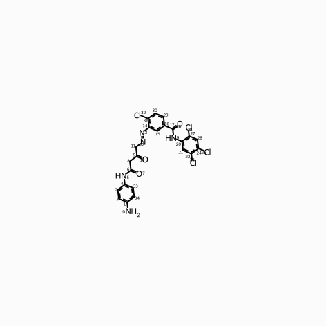 Nc1ccc(NC(=O)CC(=O)CN=Nc2cc(C(=O)Nc3cc(Cl)c(Cl)cc3Cl)ccc2Cl)cc1